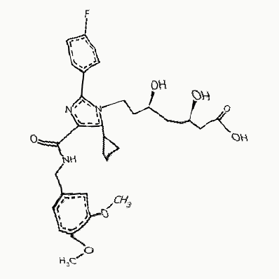 COc1ccc(CNC(=O)c2nc(-c3ccc(F)cc3)n(CC[C@@H](O)C[C@@H](O)CC(=O)O)c2C2CC2)cc1OC